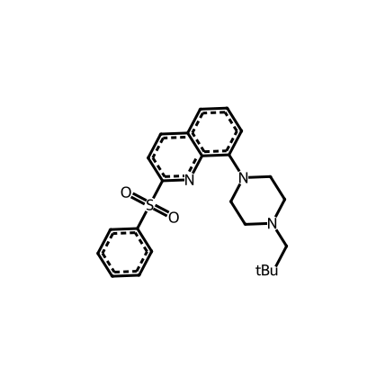 CC(C)(C)CN1CCN(c2cccc3ccc(S(=O)(=O)c4ccccc4)nc23)CC1